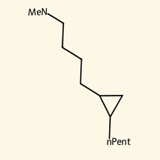 CCCCCC1CC1CCCCNC